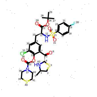 CC1CS[C@@H](C(=O)c2cc(C[C@H](NS(=O)(=O)c3ccc(F)cc3)C(=O)OC(C)(C)C)cc(Cl)c2OC(=O)N2CCSCC2)N1